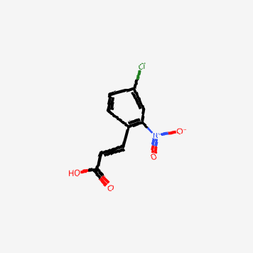 O=C(O)C=Cc1ccc(Cl)cc1[N+](=O)[O-]